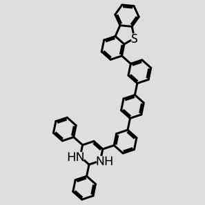 C1=C(c2cccc(-c3ccc(-c4cccc(-c5cccc6c5sc5ccccc56)c4)cc3)c2)NC(c2ccccc2)NC1c1ccccc1